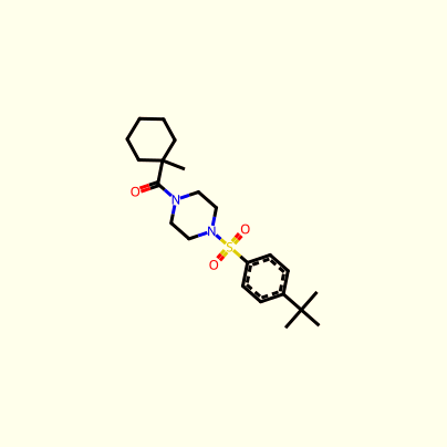 CC1(C(=O)N2CCN(S(=O)(=O)c3ccc(C(C)(C)C)cc3)CC2)CCCCC1